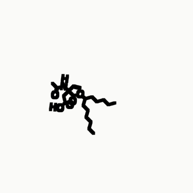 C=CC(CC(=O)O)(NC(C)=O)C(=O)OC(CCCCC)CCCCCC